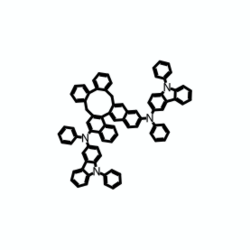 c1ccc(N(c2ccc3cc4c(cc3c2)Cc2ccccc2-c2ccccc2Cc2cc(N(c3ccccc3)c3ccc5c(c3)c3ccccc3n5-c3ccccc3)c3ccccc3c2-4)c2ccc3c(c2)c2ccccc2n3-c2ccccc2)cc1